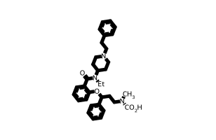 CCN(C(=O)c1ccccc1OC(CCN(C)C(=O)O)c1ccccc1)C1CCN(CCc2ccccc2)CC1